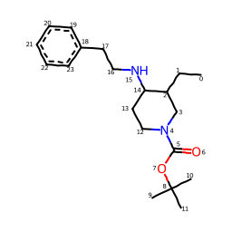 CCC1CN(C(=O)OC(C)(C)C)CCC1NCCc1ccccc1